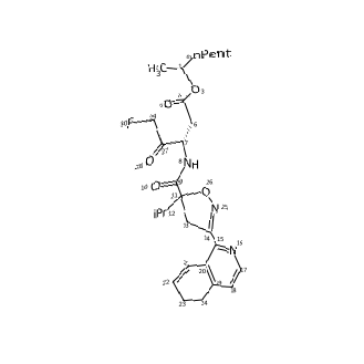 CCCCCC(C)OC(=O)C[C@H](NC(=O)C1(C(C)C)CC(c2nccc3c2C=CCC3)=NO1)C(=O)CF